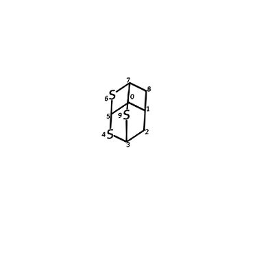 C1C2CC3SC1SC(C2)S3